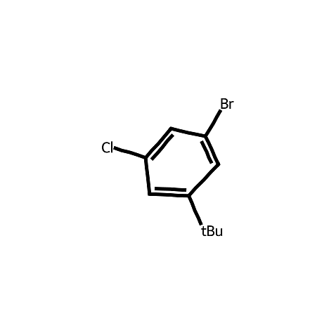 CC(C)(C)c1cc(Cl)cc(Br)c1